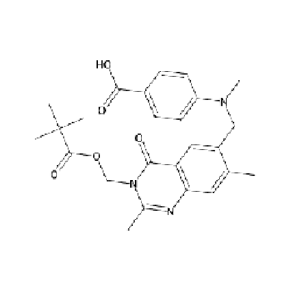 Cc1cc2nc(C)n(COC(=O)C(C)(C)C)c(=O)c2cc1CN(C)c1ccc(C(=O)O)cc1